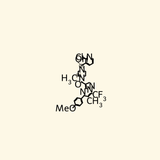 COc1ccc(-c2nc3c(C(=O)N4CCN([C@H](CO)c5cccnc5Cl)C[C@H]4C)cnn3c(C(F)(F)F)c2C)cc1